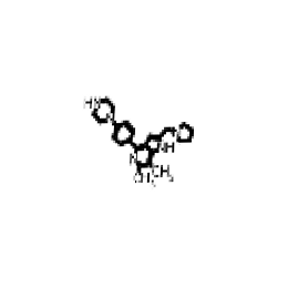 Cc1nc(-c2ccc(N3CCNCC3)cc2)c2cc(CN3CCCC3)[nH]c2c1C